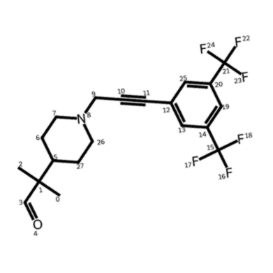 CC(C)(C=O)C1CCN(CC#Cc2cc(C(F)(F)F)cc(C(F)(F)F)c2)CC1